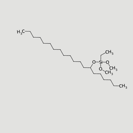 CCCCCCCCCCCCCC(CCCCCC)O[Si](CC)(OC)OC